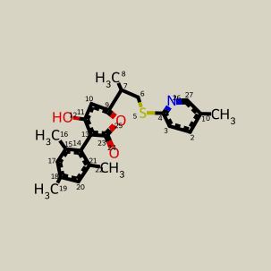 Cc1ccc(SCC(C)c2cc(O)c(-c3c(C)cc(C)cc3C)c(=O)o2)nc1